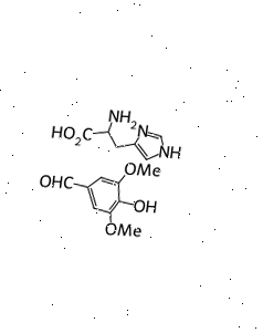 COc1cc(C=O)cc(OC)c1O.NC(Cc1c[nH]cn1)C(=O)O